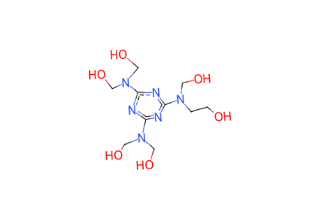 OCCN(CO)c1nc(N(CO)CO)nc(N(CO)CO)n1